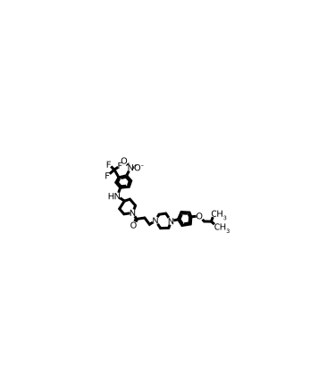 CC(C)COc1ccc(N2CCN(CCC(=O)N3CCC(Nc4ccc([N+](=O)[O-])c(C(F)(F)F)c4)CC3)CC2)cc1